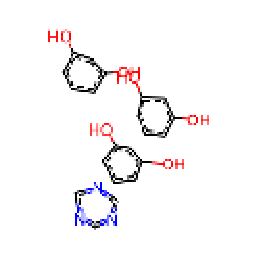 Oc1cccc(O)c1.Oc1cccc(O)c1.Oc1cccc(O)c1.c1ncncn1